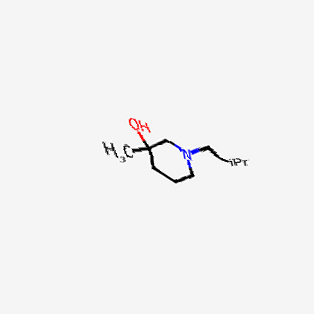 CC(C)CN1CCCC(C)(O)C1